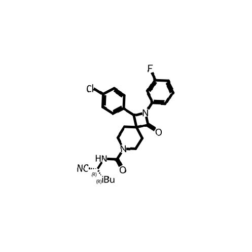 CC[C@@H](C)[C@H](C#N)NC(=O)N1CCC2(CC1)C(=O)N(c1cccc(F)c1)C2c1ccc(Cl)cc1